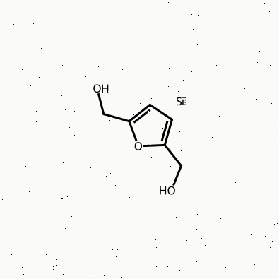 OCc1ccc(CO)o1.[Si]